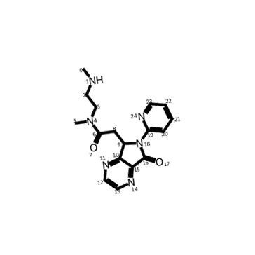 CNCCN(C)C(=O)CC1c2nccnc2C(=O)N1c1ccccn1